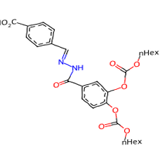 CCCCCCOC(=O)Oc1ccc(C(=O)N/N=C/c2ccc(C(=O)O)cc2)cc1OC(=O)OCCCCCC